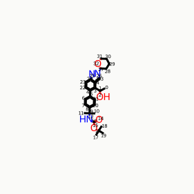 CC(O)c1c(-c2ccc(C(C)(C)NC(=O)OC(C)(C)C)cc2)ccc2nn(C3CCCCO3)cc12